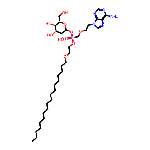 CCCCCCCCCCCCCCCCCCOCCOP(=O)(COCCn1cnc2c(N)ncnc21)OC1O[C@H](CO)[C@H](O)[C@H](O)[C@H]1O